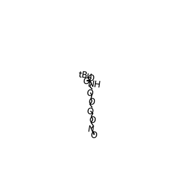 CC(C)(C)OC(=O)NCCOCCOCCOCCOCCN=C=O